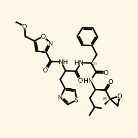 COCc1cc(C(=O)NC(Cc2cscn2)C(=O)N[C@@H](Cc2ccccc2)C(=O)NC(CC(C)C)C(=O)[C@@]2(C)CO2)no1